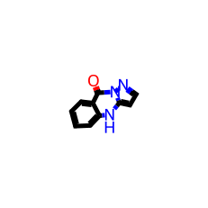 O=c1c2ccccc2[nH]c2ccnn12